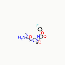 C=N/C(N)=C\C(OC)=C(/C)N1CCN(C(=O)c2cc(OC)c(Oc3ccc(F)cc3)cn2)C2(CC2)C1